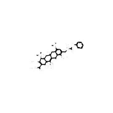 CN(C)c1cc(CNC(=O)Oc2ccccc2)c(N=O)c2c1C[C@H]1C[C@H]3[C@H](N(C)C)C(O)=C(C(N)=O)C(=O)[C@@]3(O)C(O)=C1C2=O